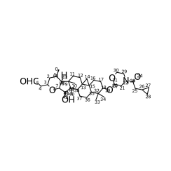 C[C@@H]1CC(CC=O)OC2[C@H]1C1(C)CCC34CC35CCC(O[C@H]3CN(C(=O)CC6CC6)CCO3)C(C)(C)C5CCC4[C@]1(C)[C@H]2O